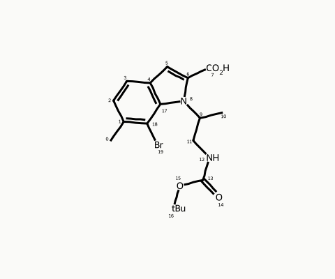 Cc1ccc2cc(C(=O)O)n(C(C)CNC(=O)OC(C)(C)C)c2c1Br